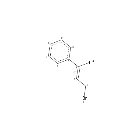 BrC/C=C(\I)c1ccccc1